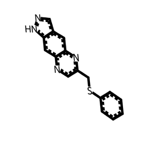 c1ccc(SCc2cnc3cc4[nH]ncc4cc3n2)cc1